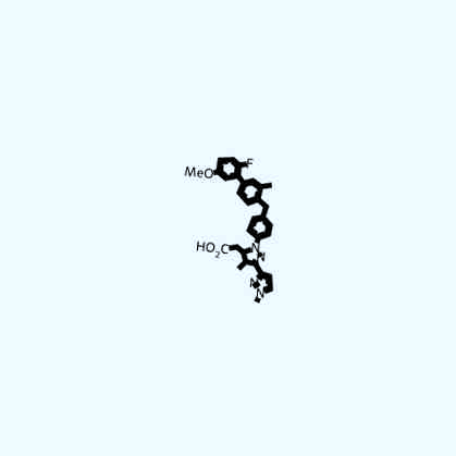 COc1ccc(F)c(-c2ccc(Cc3ccc(N4N=C(c5ccn(C)n5)C(C)C4CC(=O)O)cc3)c(C)c2)c1